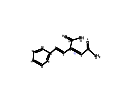 NC(=O)/C=C(/C=Cc1ccccc1)C(=O)O